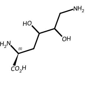 NCC(O)C(O)C[C@H](N)C(=O)O